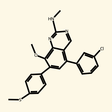 CNc1ncc2c(-c3cccc(Cl)c3)cc(-c3ccc(SC)cc3)c(OC)c2n1